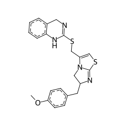 COc1ccc(CC2CN3C(CSC4=NCc5ccccc5N4)=CSC3=N2)cc1